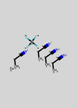 CCC#N.CCC#N.CCC#N.CCC#N.F[B-](F)(F)F.[Cu+]